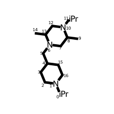 CC(C)N1CCC(CN2CC(C)N(C(C)C)CC2C)CC1